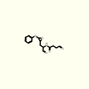 O=CCCC(=O)NC(C=O)CC1OC1Oc1ccccc1